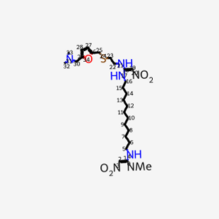 CNC(=C[N+](=O)[O-])NCCCCCCCCCCCCNC(=C[N+](=O)[O-])NCCSCc1ccc(CN(C)C)o1